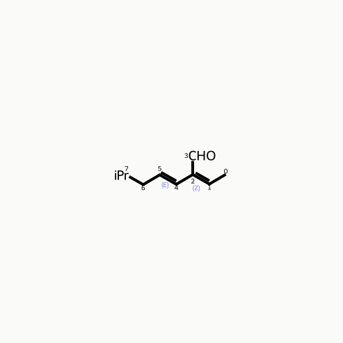 C/C=C(C=O)/C=C/CC(C)C